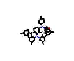 Cc1ccc(N(c2ccc(C)cc2)c2ccc3c4c2B2c5ccc(C)cc5-c5cc(C)cc(c52)N4c2cc(C)cc4c2B3c2ccc(C)cc2-4)cc1